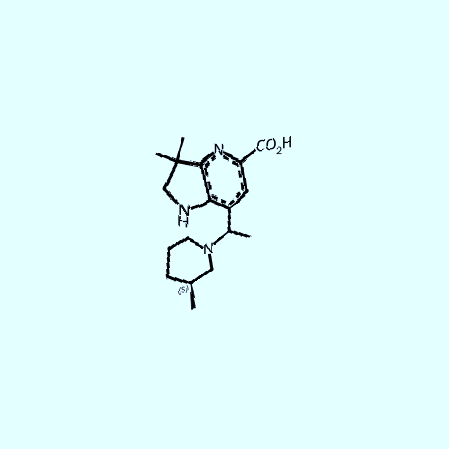 CC(c1cc(C(=O)O)nc2c1NCC2(C)C)N1CCC[C@H](C)C1